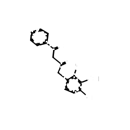 O=C(CC(=O)c1ccccc1)Cc1ccc(Cl)c(O)c1F